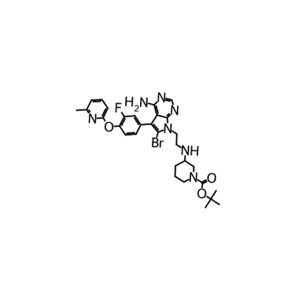 Cc1cccc(Oc2ccc(-c3c(Br)n(CCNC4CCCN(C(=O)OC(C)(C)C)C4)c4ncnc(N)c34)cc2F)n1